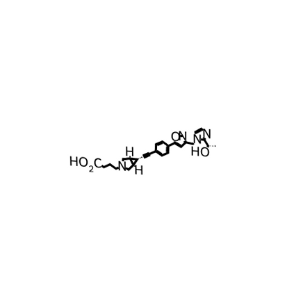 C[C@H](O)c1nccn1Cc1cc(-c2ccc(C#C[C@@H]3[C@H]4CN(CCCC(=O)O)C[C@@H]34)cc2)on1